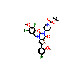 COc1cc(F)ccc1-c1cc2c(s1)c(=O)n(C1CCN(C(=O)OC(C)(C)C)CC1)c(=O)n2Cc1cc(F)c(OC)c(F)c1